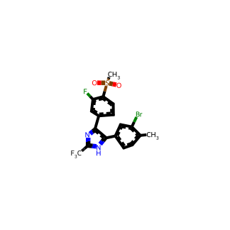 Cc1ccc(-c2[nH]c(C(F)(F)F)nc2-c2ccc(S(C)(=O)=O)c(F)c2)cc1Br